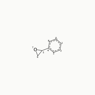 [c]1cccc(C2CO2)c1